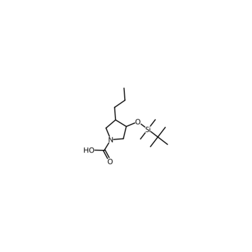 CCCC1CN(C(=O)O)CC1O[Si](C)(C)C(C)(C)C